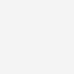 CCCCOC(=O)N1CCCC([C@@H](OCCOS(C)(=O)=O)c2cccc(Cl)c2)C1